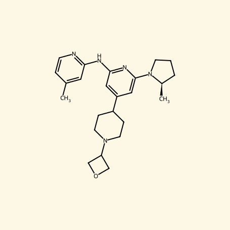 Cc1ccnc(Nc2cc(C3CCN(C4COC4)CC3)cc(N3CCC[C@H]3C)n2)c1